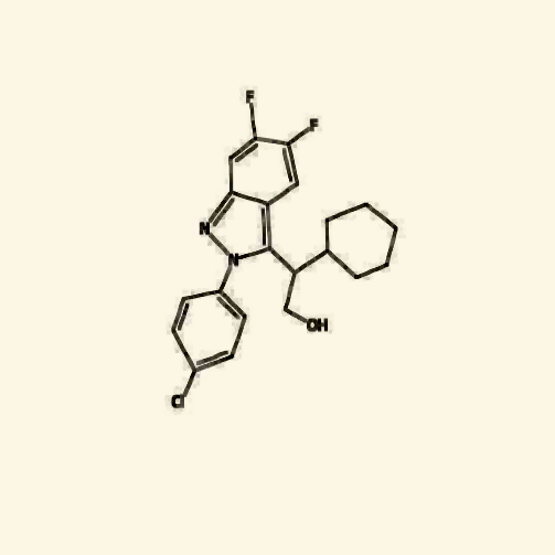 OCC(c1c2cc(F)c(F)cc2nn1-c1ccc(Cl)cc1)C1CCCCC1